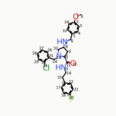 COc1ccc(CN[C@H]2C[C@@H](C(=O)NCCc3ccc(F)cc3)N(Cc3ccccc3Cl)C2)cc1